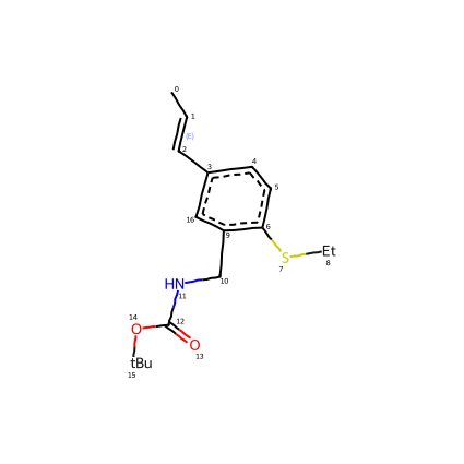 C/C=C/c1ccc(SCC)c(CNC(=O)OC(C)(C)C)c1